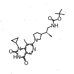 Cc1c(N2CCC([C@H](C)CNC(=O)OC(C)(C)C)C2)ncc2c(=O)[nH]c(=O)n(C3CC3)c12